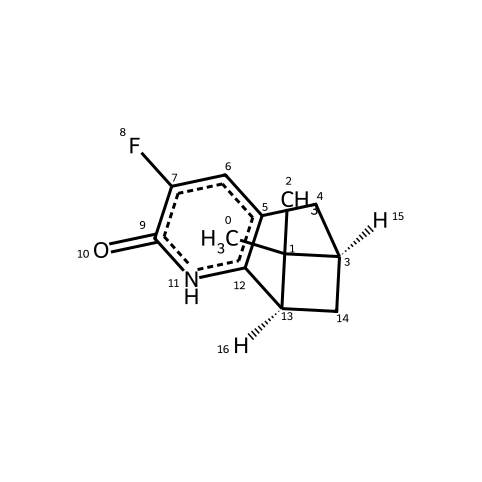 CC1(C)[C@H]2Cc3cc(F)c(=O)[nH]c3[C@@H]1C2